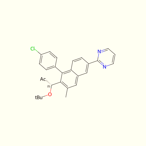 CC(=O)[C@@H](OC(C)(C)C)c1c(C)cc2cc(-c3ncccn3)ccc2c1-c1ccc(Cl)cc1